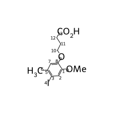 COc1cc(I)c(C)cc1OCCCC(=O)O